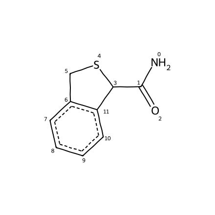 NC(=O)C1SCc2ccccc21